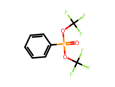 O=P(OC(F)(F)F)(OC(F)(F)F)c1ccccc1